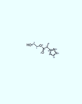 CC(C(=O)OCCO)n1ccnn1